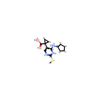 CSc1ncc(C2(C(=O)O)CC2)c(NC2CCCC2)n1